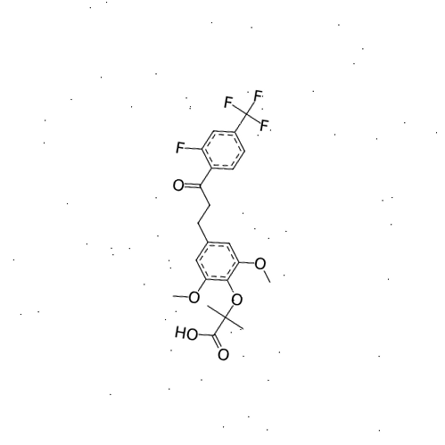 COc1cc(CCC(=O)c2ccc(C(F)(F)F)cc2F)cc(OC)c1OC(C)(C)C(=O)O